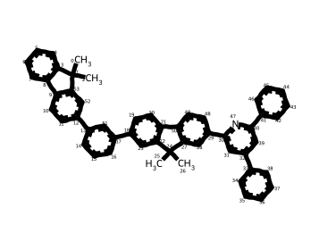 CC1(C)c2ccccc2-c2ccc(-c3cccc(-c4ccc5c(c4)C(C)(C)c4cc(-c6cc(-c7ccccc7)cc(-c7ccccc7)n6)ccc4-5)c3)cc21